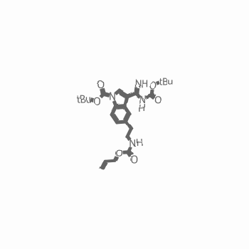 C=CCOC(=O)NCCc1ccc2c(c1)c(C(=N)NC(=O)OC(C)(C)C)cn2C(=O)OC(C)(C)C